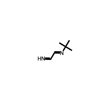 CC(C)(C)/N=C/C=N